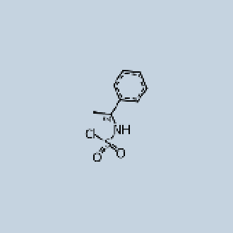 C[C@H](NS(=O)(=O)Cl)c1ccccc1